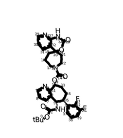 CC(C)(C)OC(=O)N[C@@H]1c2cccnc2[C@H](OC(=O)N2CCCC3(CC2)OC(=O)Nc2ncccc23)CC[C@H]1c1cccc(F)c1F